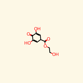 O=C1C(O)=CC(C(=O)OCCO)C=C1O